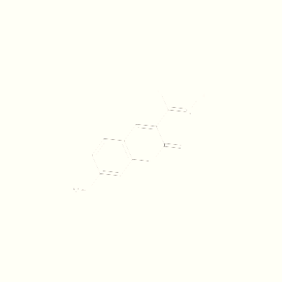 COc1ccc2cc(/C(C)=N/O)c(=O)oc2c1